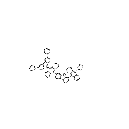 c1ccc(-c2ccc3c(c2)c2cc(-c4ccccc4)ccc2n3-c2c3ccccc3c(-c3ccc4c(c3)oc3c(-c5c6ccccc6c(-c6ccccc6)c6ccccc56)cccc34)c3ccccc23)cc1